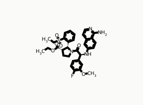 CCOC(=O)[C@H]1CCN(C(=O)[C@@H](Nc2ccc3c(N)nccc3c2)c2ccc(F)c(OC)c2)[C@H]1c1ccccc1S(=O)(=O)CC